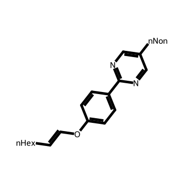 CCCCCC/C=C/Oc1ccc(-c2ncc(CCCCCCCCC)cn2)cc1